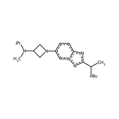 CCCCC(C)c1nc2ccc(N3CC(N(C)C(C)C)C3)cn2n1